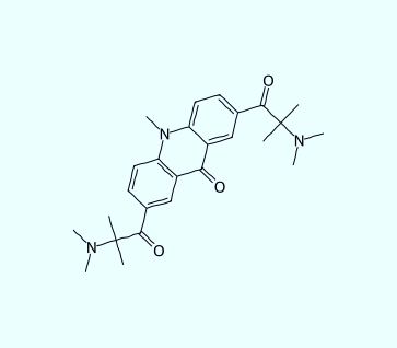 CN(C)C(C)(C)C(=O)c1ccc2c(c1)c(=O)c1cc(C(=O)C(C)(C)N(C)C)ccc1n2C